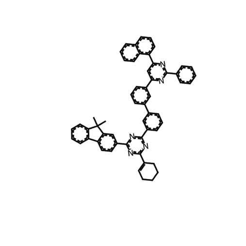 CC1(C)c2ccccc2-c2ccc(-c3nc(C4=CCCCC4)nc(-c4cccc(-c5cccc(-c6cc(-c7cccc8ccccc78)nc(-c7ccccc7)n6)c5)c4)n3)cc21